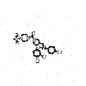 CS(=O)(=O)N1CCN(C(=O)N2CC(CNc3ccc(Cl)cc3)[C@@H](c3ccc(Cl)c(Cl)c3)C2)CC1